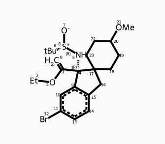 C=C(OCC)[C@]1(N[S@@+]([O-])C(C)(C)C)c2cc(Br)ccc2CC12CCC(OC)CC2